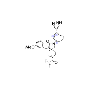 COc1cccc(CN2C(=O)N(C3=C/CC/C=C(c4cn[nH]c4)/C=C\3)CC23CCN(C(=O)C(F)F)CC3)c1